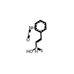 N=C=O.O[PH](=S)C=Cc1ccccc1